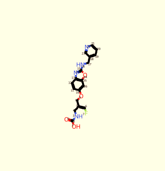 O=C(O)NCC(=CF)COc1ccc2nc(NCc3cccnc3)oc2c1